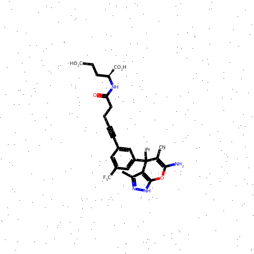 Cc1n[nH]c2c1C(c1cc(C#CCCC(=O)N[C@@H](CCC(=O)O)C(=O)O)cc(C(F)(F)F)c1)(C(C)C)C(C#N)=C(N)O2